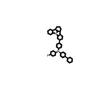 Fc1ccc(N(c2ccc(-c3ccccc3)cc2)c2ccc(-c3ccc4c5cccc6c7ccccc7n(c4c3)c65)cc2)cc1